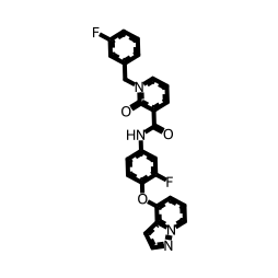 O=C(Nc1ccc(Oc2cccn3nccc23)c(F)c1)c1cccn(Cc2cccc(F)c2)c1=O